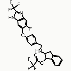 O=C(OC1c2ccccc2CC1NCc1ccc(Oc2cc3[nH]c(C(F)(F)F)nc3cc2F)cc1)C(F)(F)F